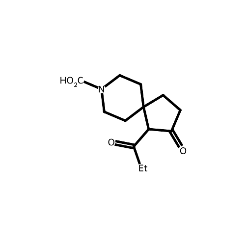 CCC(=O)C1C(=O)CCC12CCN(C(=O)O)CC2